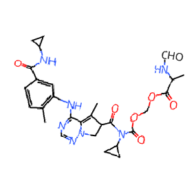 CC1=C2C(Nc3cc(C(=O)NC4CC4)ccc3C)=NC=NN2CC1C(=O)N(C(=O)OCOC(=O)C(C)NC=O)C1CC1